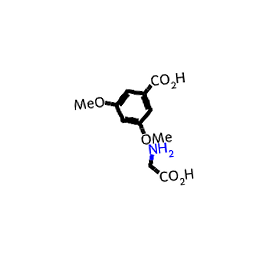 COc1cc(OC)cc(C(=O)O)c1.NCC(=O)O